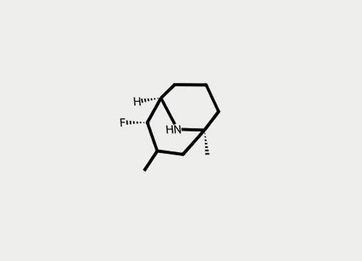 CC1C[C@]2(C)CCC[C@@H](N2)[C@H]1F